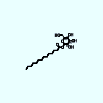 CCCCCCCCCCCCCC(=O)OC1O[C@H](CO)[C@@H](O)[C@@H](O)[C@@H]1O